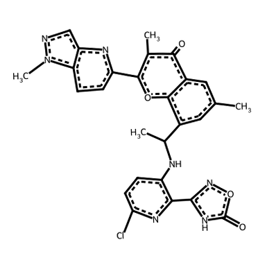 Cc1cc(C(C)Nc2ccc(Cl)nc2-c2noc(=O)[nH]2)c2oc(-c3ccc4c(cnn4C)n3)c(C)c(=O)c2c1